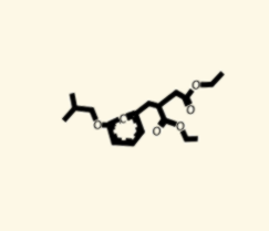 CCOC(=O)CC(Cc1cccc(OCC(C)C)c1)C(=O)OCC